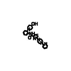 O=C(Nc1ccccc1N1CCC(O)CC1)c1csc(N2CCN(c3ccccn3)CC2)n1